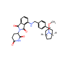 CO[C@H]1C[C@H]2CC[C@@H](C1)N2Cc1ccc(CNc2cccc3c2C(=O)N(C2CCC(=O)NC2=O)C3=O)cc1